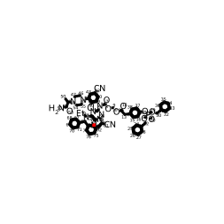 CCN(c1nc(N(C(=O)OCOC(=O)Cc2ccc(OP(=O)(OCc3ccccc3)OCc3ccccc3)cc2)c2cc(C#N)cc(N3CCN(C(C)C(N)=O)CC3)c2Cl)nn2c(C#N)cnc12)C(c1ccccc1)c1ccccc1